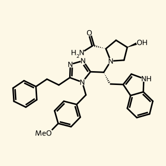 COc1ccc(Cn2c(CCc3ccccc3)nnc2[C@@H](Cc2c[nH]c3ccccc23)N2C[C@H](O)C[C@H]2C(N)=O)cc1